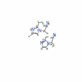 CCc1nc(C)cn1C(C)C#N.Cc1nccn1C(C)C#N